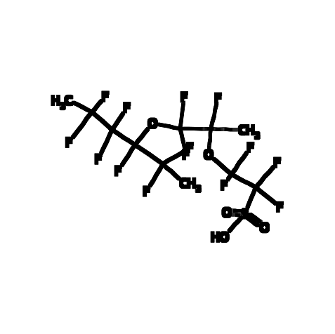 CC(F)(F)C(F)(F)C(F)(OC(F)(F)C(C)(F)OC(F)(F)C(F)(F)S(=O)(=O)O)C(C)(F)F